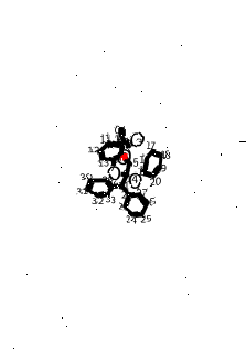 C=CC(=O)OCC(Oc1ccccc1)(Oc1ccccc1)C(c1ccccc1)c1ccccc1